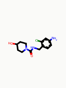 Nc1ccc(CNC(=O)N2CCC(O)CC2)c(Cl)c1